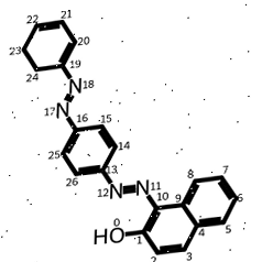 Oc1ccc2ccccc2c1N=Nc1ccc(N=NC2=CC=CCC2)cc1